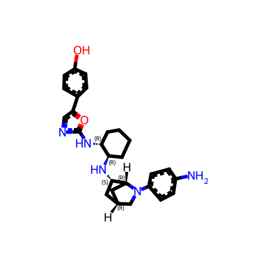 Nc1ccc(N2C[C@@H]3C[C@H](N[C@@H]4CCCC[C@H]4Nc4ncc(-c5ccc(O)cc5)o4)[C@H]2C3)cc1